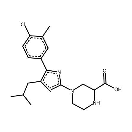 Cc1cc(-c2nc(N3CCNC(C(=O)O)C3)sc2CC(C)C)ccc1Cl